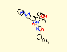 Cc1cccc(-c2nc(C(=O)Nc3cc4cn(C5CC6CCC(C5)N6)nc4cc3C(C)(C)O)co2)c1